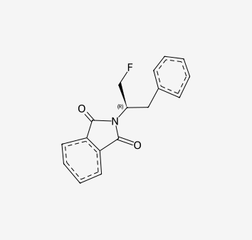 O=C1c2ccccc2C(=O)N1[C@@H](CF)Cc1ccccc1